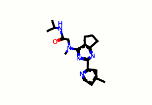 Cc1ccnc(-c2nc3c(c(N(C)CC(=O)NC(C)C)n2)CCC3)c1